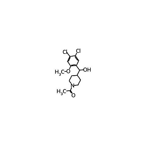 COc1cc(Cl)c(Cl)cc1C(O)C1CCN(C(C)=O)CC1